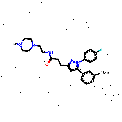 COc1cccc(-c2cc(CCC(=O)NCCN3CCN(C)CC3)nn2-c2ccc(F)cc2)c1